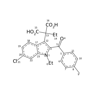 CCn1c(C(=O)c2ccc(C)cc2)c(C(CC)(C(=O)O)C(=O)O)c2ccc(Cl)cc21